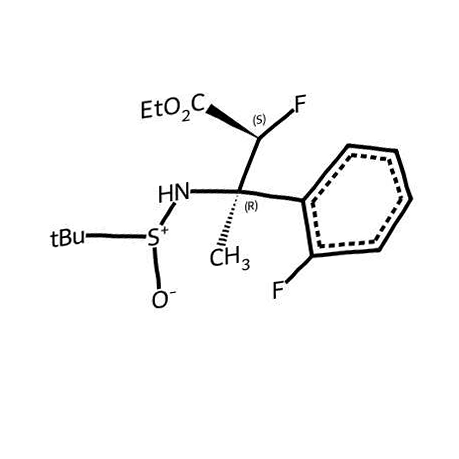 CCOC(=O)[C@@H](F)[C@](C)(N[S+]([O-])C(C)(C)C)c1ccccc1F